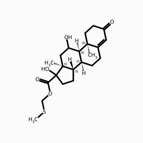 CSCOC(=O)C1(O)CC[C@H]2[C@@H]3CCC4=CC(=O)CC[C@]4(C)[C@@H]3C(O)C[C@@]21C